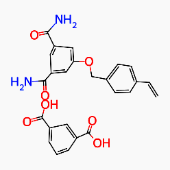 C=Cc1ccc(COc2cc(C(N)=O)cc(C(N)=O)c2)cc1.O=C(O)c1cccc(C(=O)O)c1